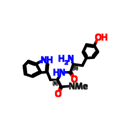 CNC(=O)[C@@H](Cc1c[nH]c2ccccc12)NC(=O)[C@@H](N)Cc1ccc(O)cc1